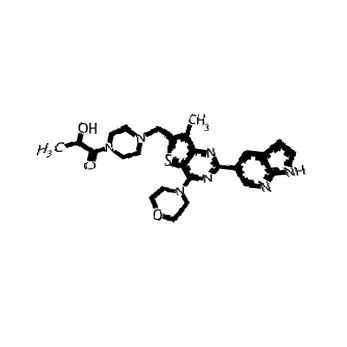 Cc1c(CN2CCN(C(=O)C(C)O)CC2)sc2c(N3CCOCC3)nc(-c3cnc4[nH]ccc4c3)nc12